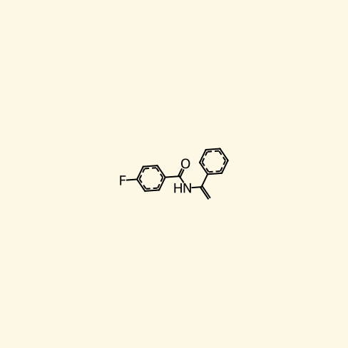 C=C(NC(=O)c1ccc(F)cc1)c1ccccc1